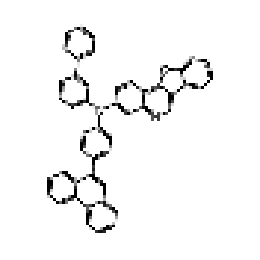 c1ccc(-c2cccc(N(c3ccc(-c4cc5ccccc5c5ccccc45)cc3)c3ccc4c(c3)ncc3c5ccccc5oc43)c2)cc1